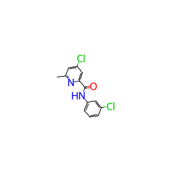 Cc1cc(Cl)cc(C(=O)Nc2cccc(Cl)c2)n1